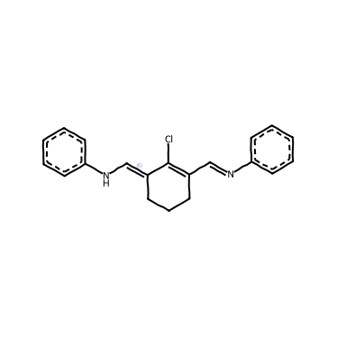 ClC1=C(C=Nc2ccccc2)CCC/C1=C\Nc1ccccc1